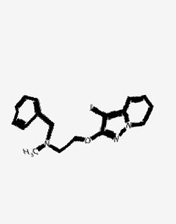 CN(CCOc1nn2ccccc2c1I)Cc1ccccc1